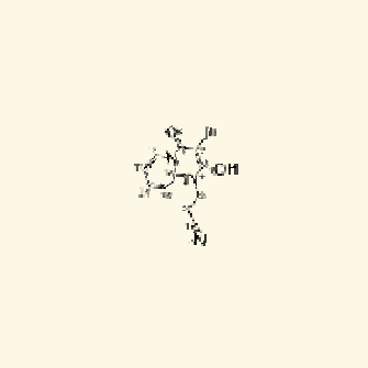 N#CCC[n+]1c(O)c(I)c(=O)n2ccccc21